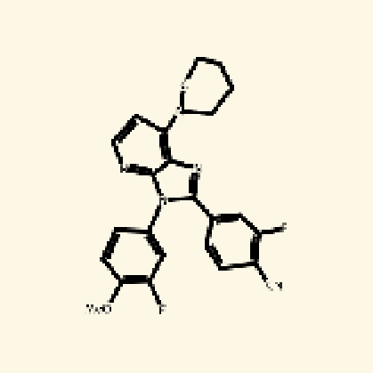 COc1ccc(-n2c(-c3ccc(C#N)c(F)c3)nc3c(N4CCCCC4)ccnc32)cc1F